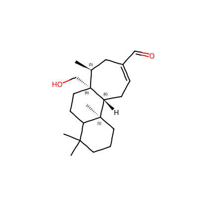 C[C@H]1CC(C=O)=CC[C@H]2[C@@]1(CO)CCC1C(C)(C)CCC[C@@]12C